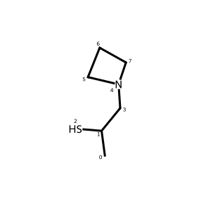 CC(S)CN1CCC1